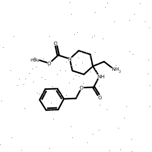 CCCCOC(=O)N1CCC(CN)(NC(=O)OCc2ccccc2)CC1